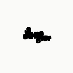 CC(C)COCC(C)N1C(=O)c2ccc(-c3ccc4c(c3)C(=O)N(C)C4=O)cc2C1=O